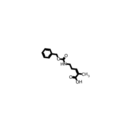 CC(=CCCNC(=O)OCc1ccccc1)C(=O)O